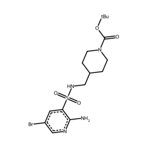 CC(C)(C)OC(=O)N1CCC(CNS(=O)(=O)c2cc(Br)cnc2N)CC1